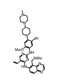 C=Cc1cnc(Nc2cc(C(C)C)c(N3CCC(N4CCN(C)CC4)CC3)cc2OC)nc1Nc1ccc2nccnc2c1CNC